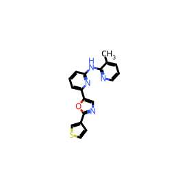 Cc1cccnc1Nc1cccc(-c2cnc(-c3ccsc3)o2)n1